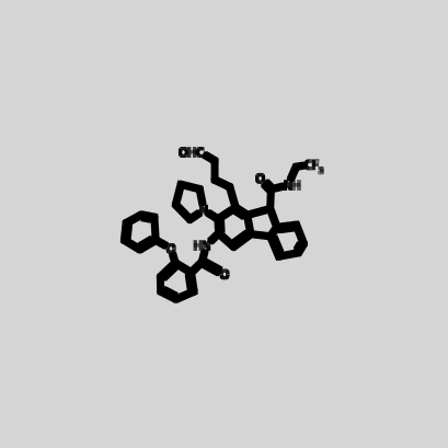 O=CCCCc1c2c(cc(NC(=O)c3ccccc3Oc3ccccc3)c1N1CCCC1)-c1ccccc1C2C(=O)NCC(F)(F)F